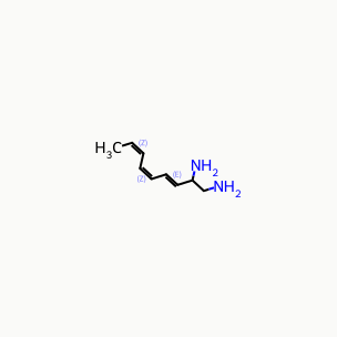 C\C=C/C=C\C=C\C(N)CN